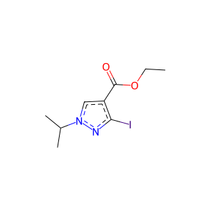 CCOC(=O)c1cn(C(C)C)nc1I